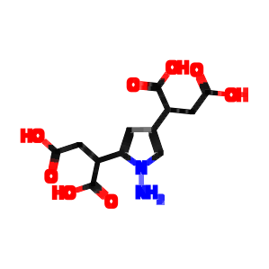 Nn1cc(C(CC(=O)O)C(=O)O)cc1C(CC(=O)O)C(=O)O